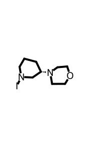 IN1CCC[C@H](N2CCOCC2)C1